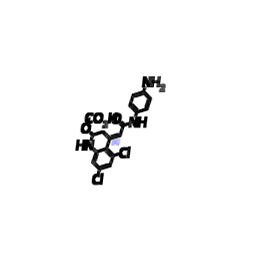 Nc1ccc(NC(=O)/C=C2\CC(OC(=O)O)Nc3cc(Cl)cc(Cl)c32)cc1